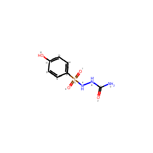 NC(=O)NNS(=O)(=O)c1ccc(O)cc1